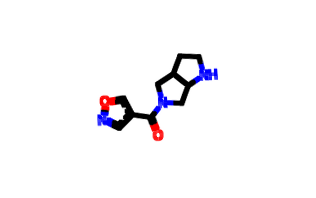 O=C(c1cnoc1)N1CC2CCNC2C1